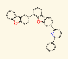 c1ccc(-c2cccc(-c3ccc4c(c3)oc3c(-c5ccc6oc7ccccc7c6c5)cccc34)n2)cc1